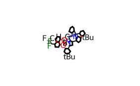 C/C(=C1/N=C(c2ccccc2)c2ccccc21)c1c(-c2ccc(C(C)(C)C)cc2)cc(-c2ccc(C(C)(C)C)cc2)n1B(Oc1ccc(C(F)F)cc1)Oc1ccc(C(F)(F)F)cc1